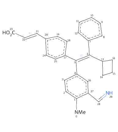 CNc1ccc(/C(=C(/c2ccccc2)C2CCC2)c2ccc(/C=C/C(=O)O)cc2)cc1C=N